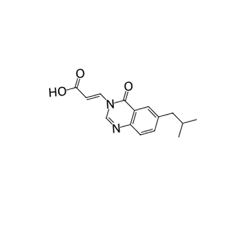 CC(C)Cc1ccc2ncn(/C=C/C(=O)O)c(=O)c2c1